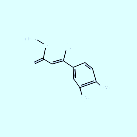 CCCCCCOC(=O)C=C(C#N)c1ccc(OC)c(OC)c1